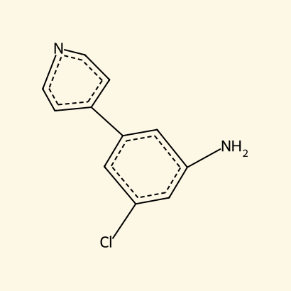 Nc1cc(Cl)cc(-c2ccncc2)c1